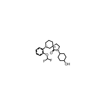 O=C1N(C2CCC(O)CC2)CC[C@@]12CCCN(c1ccccc1OC(F)F)C2